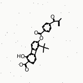 C=C(C)C(=O)c1ccc(C(=O)Oc2ccc3c(c2C(C)(C)C)-c2ccc(C([O])=O)c(O)c2-3)cc1